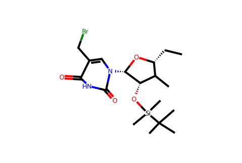 CC[C@H]1O[C@@H](n2cc(CBr)c(=O)[nH]c2=O)[C@@H](O[Si](C)(C)C(C)(C)C)C1C